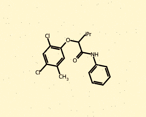 Cc1cc(OC(C(=O)Nc2ccccc2)C(C)C)c(Cl)cc1Cl